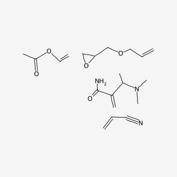 C=C(C(N)=O)C(C)N(C)C.C=CC#N.C=CCOCC1CO1.C=COC(C)=O